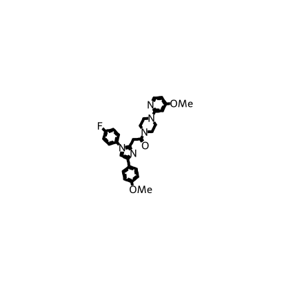 COc1ccc(-c2cn(-c3ccc(F)cc3)c(CC(=O)N3CCN(c4cc(OC)ccn4)CC3)n2)cc1